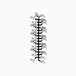 CCC(C)(CC)C(C)(CC)C(C)(CC)C(C)(CC)C(C)(CC)C(C)(CC)C(C)(CC)C(C)(CC)C(C)(CC)C(C)(CC)C(C)(CC)C(C)(CC)C(C)(CC)C(C)(CC)C(C)(CC)N(C)N